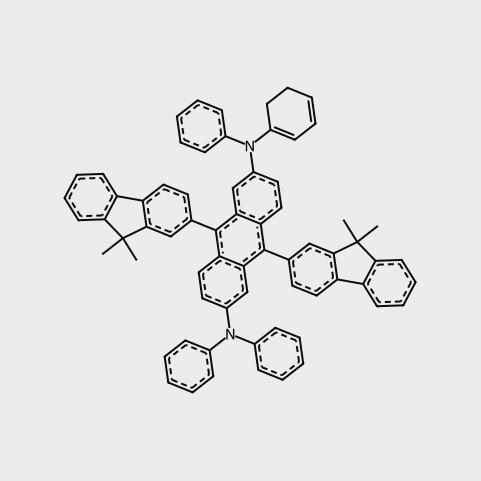 CC1(C)c2ccccc2-c2ccc(-c3c4ccc(N(c5ccccc5)c5ccccc5)cc4c(-c4ccc5c(c4)C(C)(C)c4ccccc4-5)c4ccc(N(C5=CC=CCC5)c5ccccc5)cc34)cc21